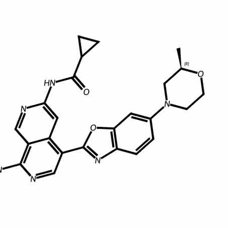 CNc1ncc(-c2nc3ccc(N4CCO[C@H](C)C4)cc3o2)c2cc(NC(=O)C3CC3)ncc12